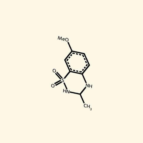 COc1ccc2c(c1)S(=O)(=O)NC(C)N2